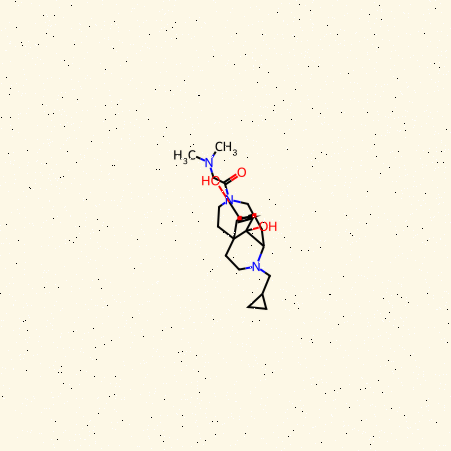 CN(C)CC(=O)N1CCC23CCN(CC4CC4)C(Cc4ccc(O)cc42)C3(O)CC1